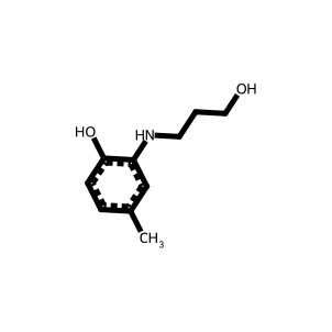 Cc1ccc(O)c(NCCCO)c1